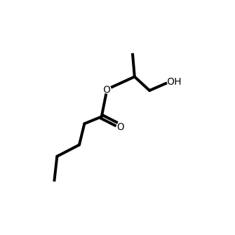 CCCCC(=O)OC(C)CO